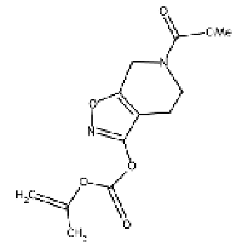 C=C(C)OC(=O)Oc1noc2c1CCN(C(=O)OC)C2